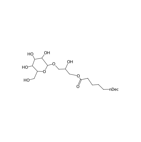 CCCCCCCCCCCCCCC(=O)OCC(O)COC1OC(CO)C(O)C(O)C1O